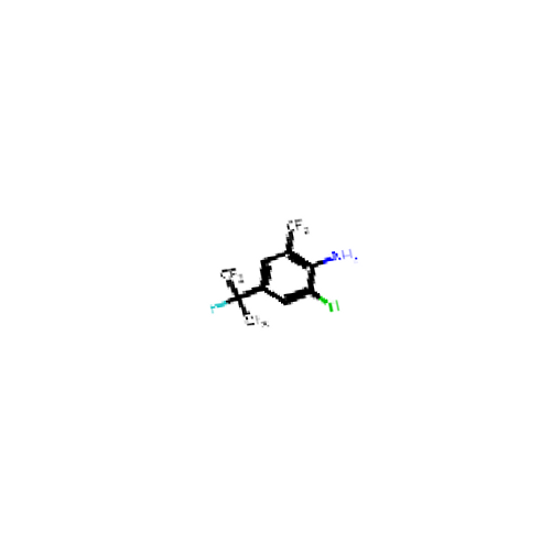 Nc1c(Cl)cc(C(F)(C(F)(F)F)C(F)(F)F)cc1C(F)(F)F